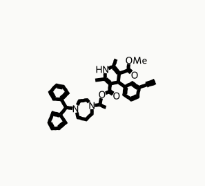 C#Cc1cccc(C2C(C(=O)OC)=C(C)NC(C)=C2C(=O)OC(C)N2CCCN(C(c3ccccc3)c3ccccc3)CC2)c1